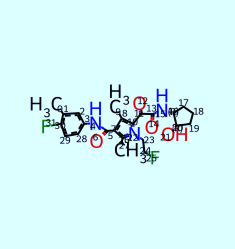 Cc1cc(NC(=O)c2c(C)c(C(=O)C(=O)N[C@@H]3CCC[C@H]3O)n(CCF)c2C)ccc1F